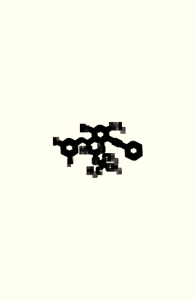 CC(C)(C)OC(=O)N[C@@H](Cc1cc(F)cc(F)c1)c1nc(C#Cc2ccccc2)c(N)cc1Br